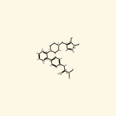 Cc1c(CN2CCN(c3nccnc3-c3ccc(CC(=O)N(C)C)cc3)CC2)cnn1C